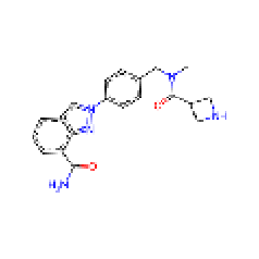 CN(Cc1ccc(-n2cc3cccc(C(N)=O)c3n2)cc1)C(=O)C1CNC1